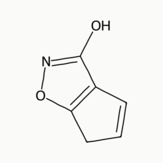 Oc1noc2c1C=CC2